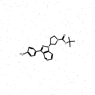 CC(C)(C)OC(=O)N1CCC(n2nc(-c3ccc(N)cc3)c3cnccc32)C1